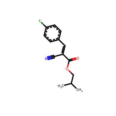 CC(C)COC(=O)/C(C#N)=C/c1ccc(F)cc1